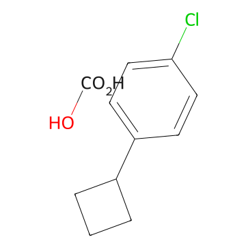 Clc1ccc(C2CCC2)cc1.O=C(O)O